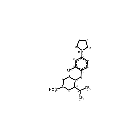 O=C(O)N1CCN(Cc2ccc(N3CCCC3)cc2Cl)C(C(C(F)(F)F)C(F)(F)F)C1